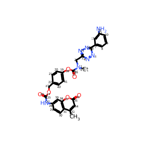 CCN(Cc1nnc(-c2cccc(N)c2)nn1)C(=O)Oc1ccc(COC(=O)Nc2ccc3c(C)cc(=O)oc3c2)cc1